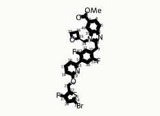 COC(=O)c1ccc2nc(Cc3cc(F)c(-c4cccc(OCc5sc(Br)cc5F)n4)cc3F)n(C[C@@H]3CCO3)c2c1